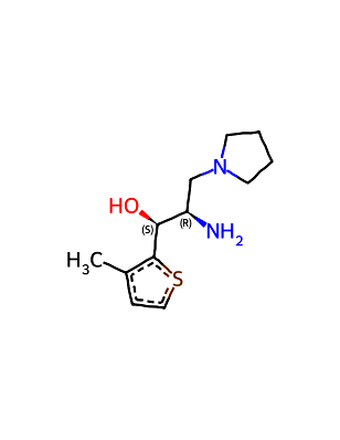 Cc1ccsc1[C@@H](O)[C@H](N)CN1CCCC1